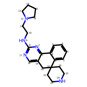 c1ccc2c(c1)-c1nc(NCCN3CCCC3)ncc1CC21CCNCC1